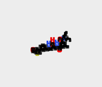 CCCN(CCC)C(=O)c1cc(C)cc(C(=O)NC[C@H](O)CNCc2cccc(-c3csc(C=O)c3)c2)c1